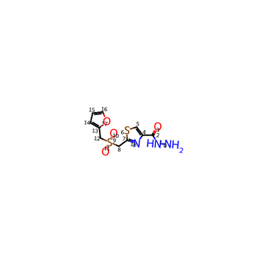 NNC(=O)c1csc(CS(=O)(=O)Cc2ccco2)n1